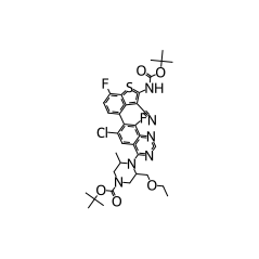 CCOCC1CN(C(=O)OC(C)(C)C)CC(C)N1c1ncnc2c(F)c(-c3ccc(F)c4sc(NC(=O)OC(C)(C)C)c(C#N)c34)c(Cl)cc12